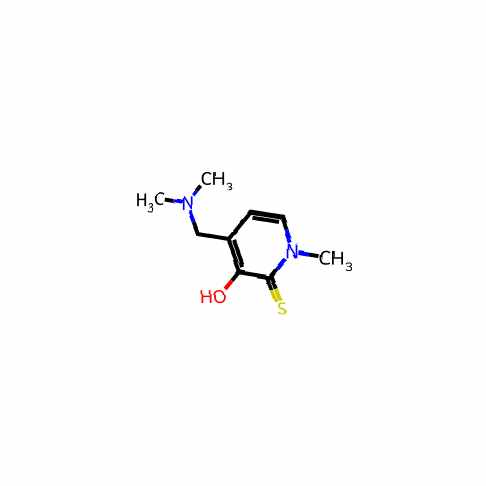 CN(C)Cc1ccn(C)c(=S)c1O